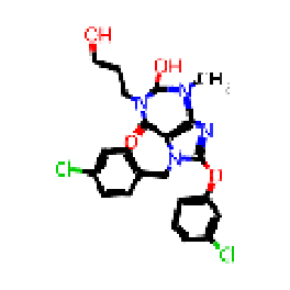 CN1c2nc(Oc3cccc(Cl)c3)n(Cc3ccc(Cl)cc3)c2C(=O)N(CCCO)C1O